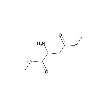 CNC(=O)C(N)CC(=O)OC